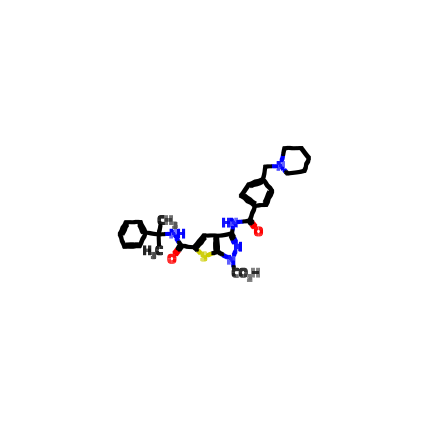 CC(C)(NC(=O)c1cc2c(NC(=O)c3ccc(CN4CCCCC4)cc3)nn(C(=O)O)c2s1)c1ccccc1